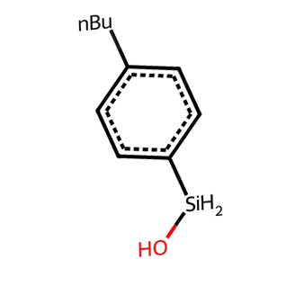 CCCCc1ccc([SiH2]O)cc1